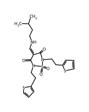 CC(C)CCNC=C1C(=O)N(CCc2cccs2)S(=O)(=O)N(CCc2cccs2)C1=O